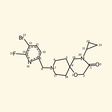 O=C1COC2(CCN(Cc3ccc(Br)c(F)n3)CC2)CN1C1CC1